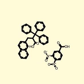 O=C(O)C(Cc1ccc2ccccc2c1)C(c1ccccc1)(c1ccccc1)c1ccccc1.O=C(O)c1ccc([N+](=O)[O-])c([N+](=O)[O-])c1